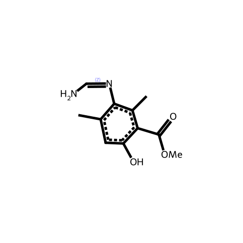 COC(=O)c1c(O)cc(C)c(/N=C\N)c1C